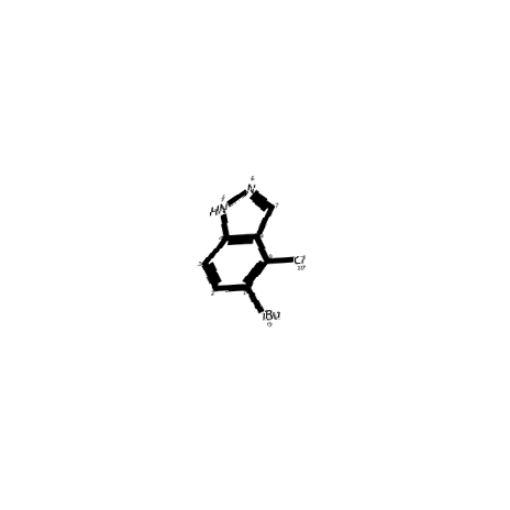 CCC(C)c1ccc2[nH]ncc2c1Cl